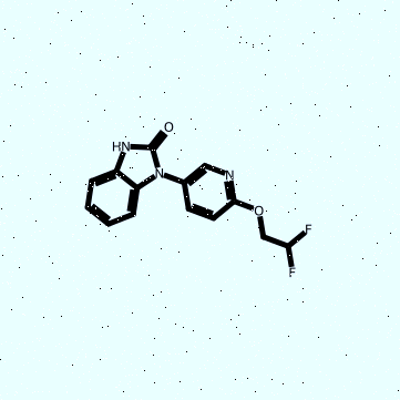 O=c1[nH]c2ccccc2n1-c1ccc(OCC(F)F)nc1